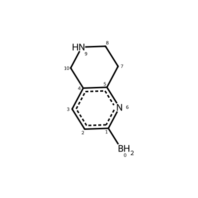 Bc1ccc2c(n1)CCNC2